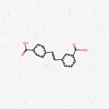 O=C(O)c1ccc(C=Cc2cccc(C(=O)O)c2)cc1